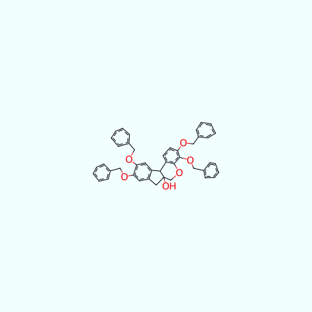 OC12COc3c(ccc(OCc4ccccc4)c3OCc3ccccc3)C1c1cc(OCc3ccccc3)c(OCc3ccccc3)cc1C2